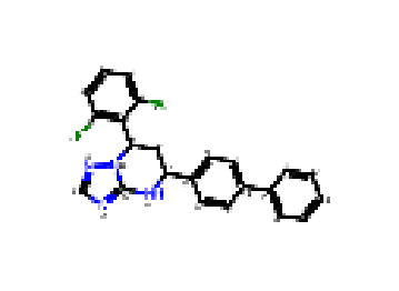 Fc1cccc(Cl)c1C1CC(c2ccc(-c3ccccc3)cc2)Nc2ncnn21